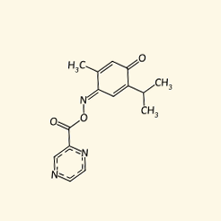 CC1=CC(=O)C(C(C)C)=CC1=NOC(=O)c1cnccn1